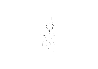 CCN(C(=O)c1n[nH]c2cc(Br)ccc12)[C@@H]1CN2CCC1CC2